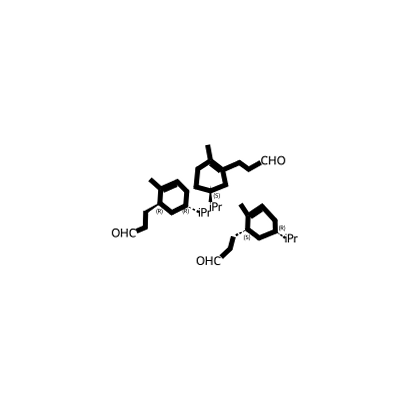 CC1=C(CCC=O)C[C@@H](C(C)C)CC1.CC1=CC[C@H](C(C)C)C[C@@H]1CCC=O.CC1=CC[C@H](C(C)C)C[C@H]1CCC=O